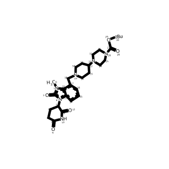 Cn1c(=O)n(C2CCC(=O)NC2=O)c2cccc(CN3CCC(N4CCN(C(=O)OC(C)(C)C)CC4)CC3)c21